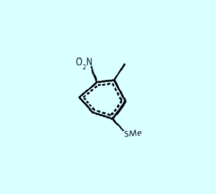 CSc1ccc([N+](=O)[O-])c(C)c1